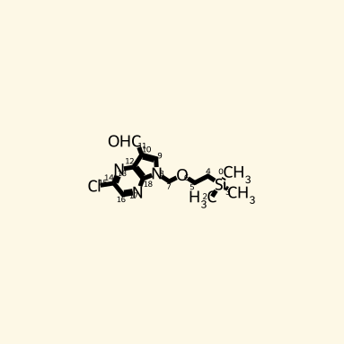 C[Si](C)(C)CCOCn1cc(C=O)c2nc(Cl)cnc21